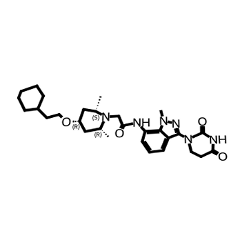 C[C@@H]1C[C@H](OCCC2CCCCC2)C[C@H](C)N1CC(=O)Nc1cccc2c(N3CCC(=O)NC3=O)nn(C)c12